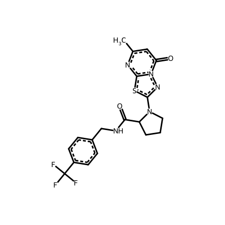 Cc1cc(=O)n2nc(N3CCCC3C(=O)NCc3ccc(C(F)(F)F)cc3)sc2n1